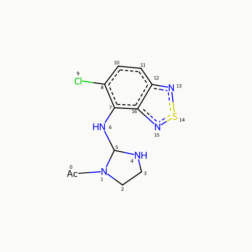 CC(=O)N1CCNC1Nc1c(Cl)ccc2nsnc12